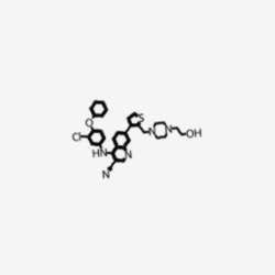 N#Cc1cnc2cc(-c3ccsc3CN3CCN(CCO)CC3)ccc2c1Nc1ccc(Oc2ccccc2)c(Cl)c1